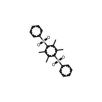 Cc1c(C)c(S(=O)(=O)c2ccccc2)c(C)c(C)c1S(=O)(=O)c1ccccc1